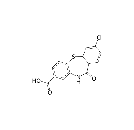 O=C(O)c1ccc2c(c1)NC(=O)C1C=CC(Cl)=CC1S2